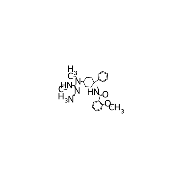 CCNC(=NC#N)N(CC)[C@H]1CC[C@@](CNC(=O)c2ccccc2OC)(c2ccccc2)CC1